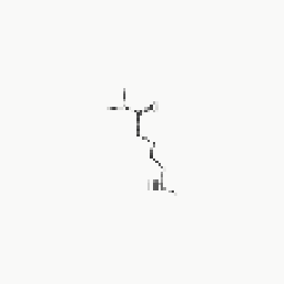 CNCCCCC(=O)N(C)C